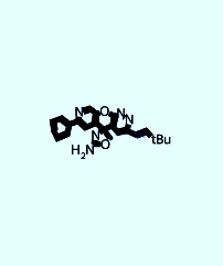 CC(C)(C)/C=C/c1cc2c(nn1)Oc1cnc(-c3ccccc3)cc1C21COC(N)=N1